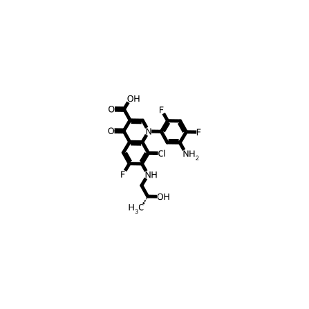 C[C@@H](O)CNc1c(F)cc2c(=O)c(C(=O)O)cn(-c3cc(N)c(F)cc3F)c2c1Cl